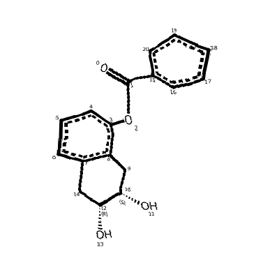 O=C(Oc1cccc2c1C[C@H](O)[C@H](O)C2)c1ccccc1